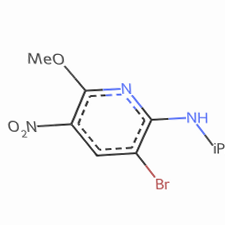 COc1nc(NC(C)C)c(Br)cc1[N+](=O)[O-]